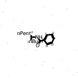 CCCCCC(CCCC)NC(=O)c1ccccc1